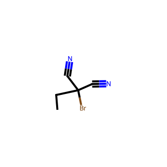 CCC(Br)(C#N)C#N